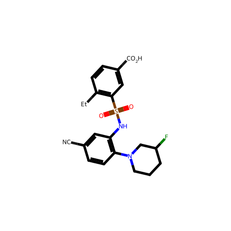 CCc1ccc(C(=O)O)cc1S(=O)(=O)Nc1cc(C#N)ccc1N1CCCC(F)C1